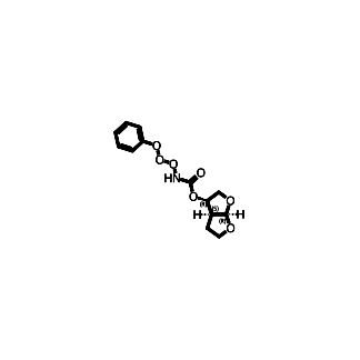 O=C(NOOOc1ccccc1)O[C@H]1CO[C@H]2OCC[C@H]21